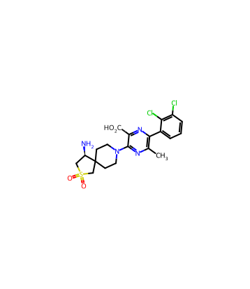 Cc1nc(N2CCC3(CC2)CS(=O)(=O)C[C@H]3N)c(C(=O)O)nc1-c1cccc(Cl)c1Cl